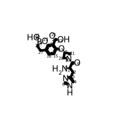 N[C@H](Cc1c[nH]cn1)C(=O)N1CC(Oc2ccc3c(c2C(=O)O)OB(O)CC3)C1